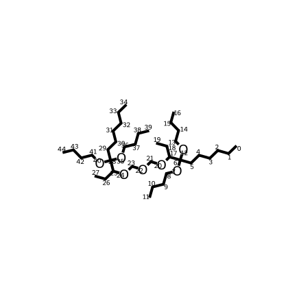 CCCCCCC(OCCCC)(OCCCC)C(CC)OCOCOC(CC)C(CCCCCC)(OCCCC)OCCCC